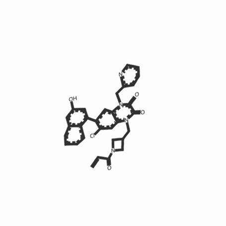 C=CC(=O)N1CC(Cn2c(=O)c(=O)n(Cc3ccccn3)c3cc(-c4cc(O)cc5ccccc45)c(Cl)cc32)C1